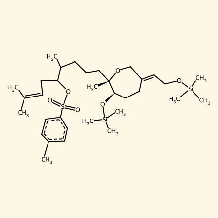 CC(C)=CCC(OS(=O)(=O)c1ccc(C)cc1)C(C)CCC[C@]1(C)OC/C(=C/CO[Si](C)(C)C)CC[C@H]1O[Si](C)(C)C